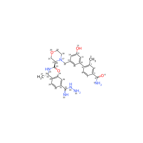 Cc1cc(C(N)=O)ccc1-c1cc(O)cc(CN2CCOC[C@@H]2C(=O)N[C@@H](C)c2ccc(C(=N)NN)cc2)c1